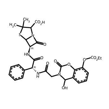 CCOC(=O)Oc1cccc2c1OC(=O)N(CC(=O)N[C@@H](C(=O)N[C@@H]1C(=O)N3C1SC(C)(C)C3C(=O)O)c1ccccc1)C2O